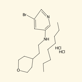 Brc1cncc(NCCC2CCOCC2)c1.CCCCCCCC.Cl.Cl